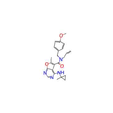 C=CCN(Cc1ccc(OC)cc1)C(=O)c1c(C)oc2ncnc(NC3(C)CC3)c12